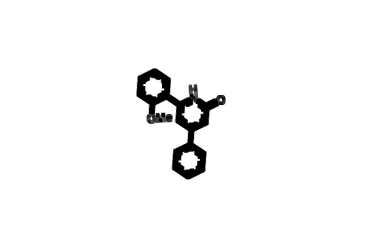 COc1ccccc1-c1cc(-c2ccccc2)cc(=O)[nH]1